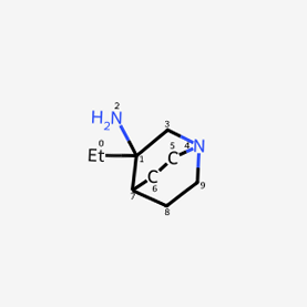 CCC1(N)CN2CCC1CC2